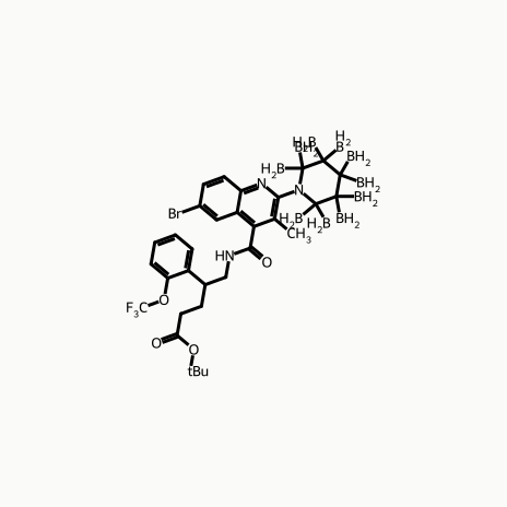 BC1(B)N(c2nc3ccc(Br)cc3c(C(=O)NCC(CCC(=O)OC(C)(C)C)c3ccccc3OC(F)(F)F)c2C)C(B)(B)C(B)(B)C(B)(B)C1(B)B